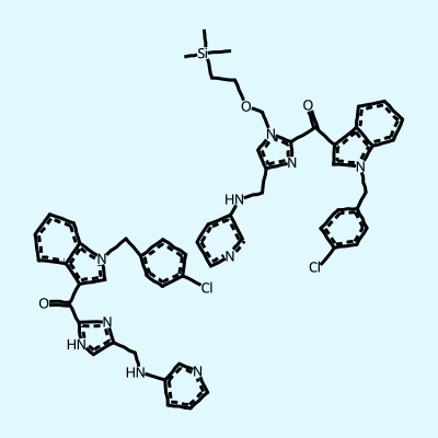 C[Si](C)(C)CCOCn1cc(CNc2cccnc2)nc1C(=O)c1cn(Cc2ccc(Cl)cc2)c2ccccc12.O=C(c1nc(CNc2cccnc2)c[nH]1)c1cn(Cc2ccc(Cl)cc2)c2ccccc12